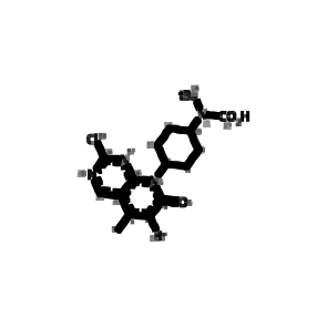 Cc1c(Br)c(=O)n(C2CCC(N(C(=O)O)C(C)(C)C)CC2)c2nc(Cl)ncc12